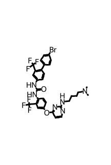 CN(C)CCCCNc1nccc(Oc2ccc(NC(=O)Nc3ccc(-c4ccc(Br)cc4)c(C(F)(F)F)c3)c(C(F)(F)F)c2)n1